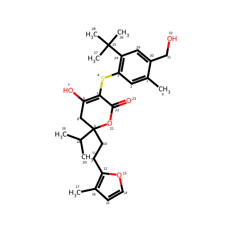 Cc1cc(SC2=C(O)CC(CCc3occc3C)(C(C)C)OC2=O)c(C(C)(C)C)cc1CO